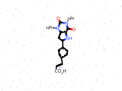 CCCn1c(=O)c2[nH]c(-c3ccc(/C=C/C(=O)O)cc3)cc2n(CCC)c1=O